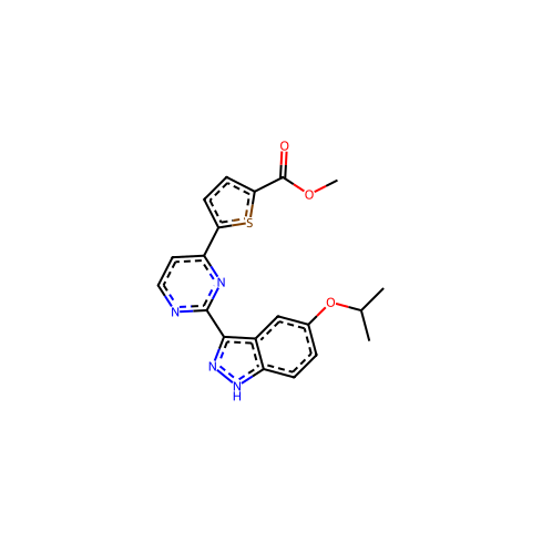 COC(=O)c1ccc(-c2ccnc(-c3n[nH]c4ccc(OC(C)C)cc34)n2)s1